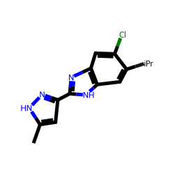 Cc1cc(-c2nc3cc(Cl)c(C(C)C)cc3[nH]2)n[nH]1